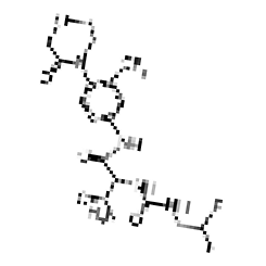 NC(=O)[C@@H](NC(=O)NCC(F)F)C(=O)Nc1ccc(N2CCOCC2=O)c(C(F)(F)F)c1